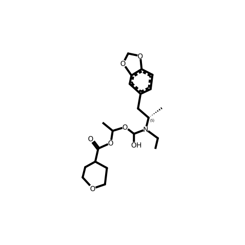 CCN(C(O)OC(C)OC(=O)C1CCOCC1)[C@@H](C)Cc1ccc2c(c1)OCO2